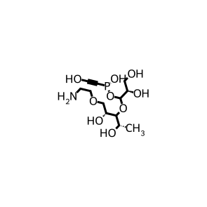 C[C@H](O)C(OC(OP(O)C#CO)[C@H](O)CO)[C@H](O)COCCN